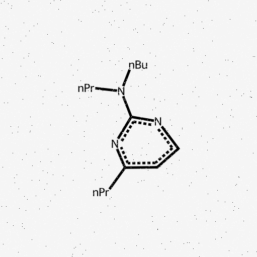 CCCCN(CCC)c1nccc(CCC)n1